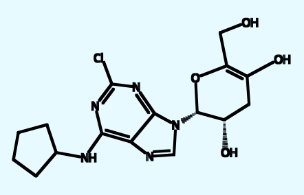 OCC1=C(O)C[C@H](O)[C@H](n2cnc3c(NC4CCCC4)nc(Cl)nc32)O1